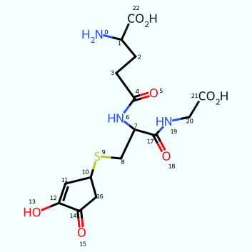 NC(CCC(=O)NC(CSC1C=C(O)C(=O)C1)C(=O)NCC(=O)O)C(=O)O